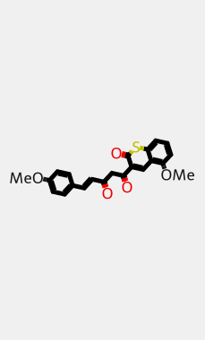 COc1ccc(/C=C/C(=O)CC(=O)c2cc3c(OC)cccc3sc2=O)cc1